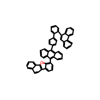 c1ccc(-c2cc3ccccc3c3ccccc23)c(-c2ccc(-c3c4ccccc4c(-c4cccc5c4oc4c6ccccc6ccc54)c4ccccc34)cc2)c1